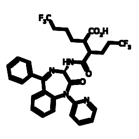 O=C(O)C(CCCC(F)(F)F)C(CCC(F)(F)F)C(=O)N[C@H]1N=C(c2ccccc2)c2ccccc2N(c2ccccn2)C1=O